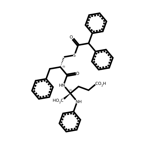 O=C(O)CC[C@@](NC(=O)[C@@H](CSC(=O)C(c1ccccc1)c1ccccc1)Cc1ccccc1)(Nc1ccccc1)C(=O)O